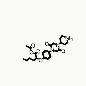 CCCCC(Oc1ccc(N2CC(=O)N(C3CCNCC3)CC2=O)cc1)C(=O)OC(C)=O